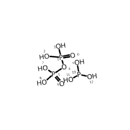 O=P(O)(O)OP(=O)(O)O.OP(O)O